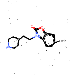 COc1ccc2c(c1)oc(=O)n2CCC1CCNCC1